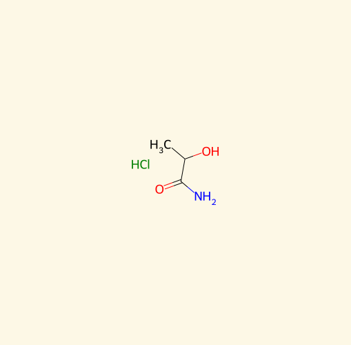 CC(O)C(N)=O.Cl